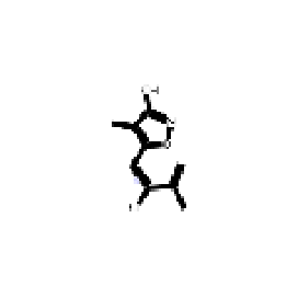 C=C(C)/C(Cl)=C\c1onc(O)c1C